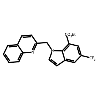 CCOC(=O)c1cc(C(F)(F)F)cc2ccn(Cc3ccc4ccccc4n3)c12